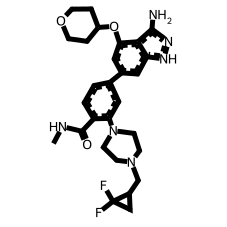 CNC(=O)c1ccc(-c2cc(OC3CCOCC3)c3c(N)n[nH]c3c2)cc1N1CCN(CC2CC2(F)F)CC1